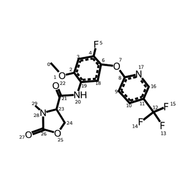 COc1cc(F)c(Oc2ccc(C(F)(F)F)cn2)cc1NC(=O)C1COC(=O)N1C